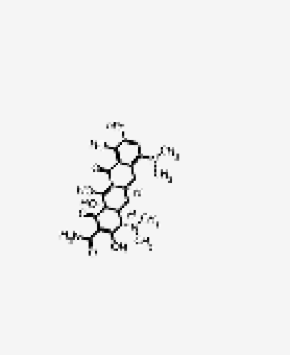 CCCc1cc(N(C)C)c2c(c1O)C(=O)C1=C(O)[C@]3(O)C(=O)C(C(N)=O)=C(O)[C@@H](N(C)C)[C@@H]3C[C@@H]1C2